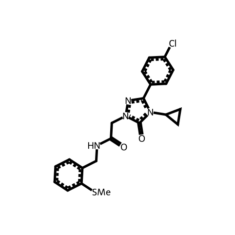 CSc1ccccc1CNC(=O)Cn1nc(-c2ccc(Cl)cc2)n(C2CC2)c1=O